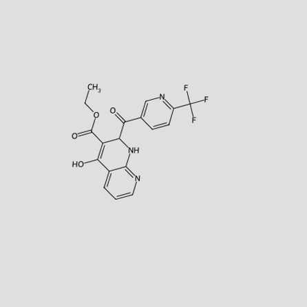 CCOC(=O)C1=C(O)c2cccnc2NC1C(=O)c1ccc(C(F)(F)F)nc1